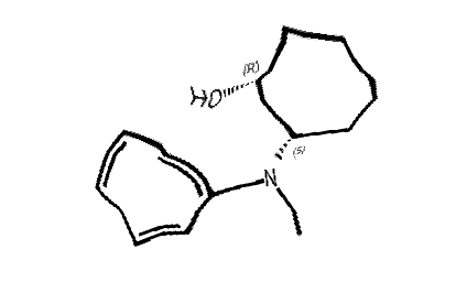 CN(c1ccccc1)[C@H]1CCCC[C@H]1O